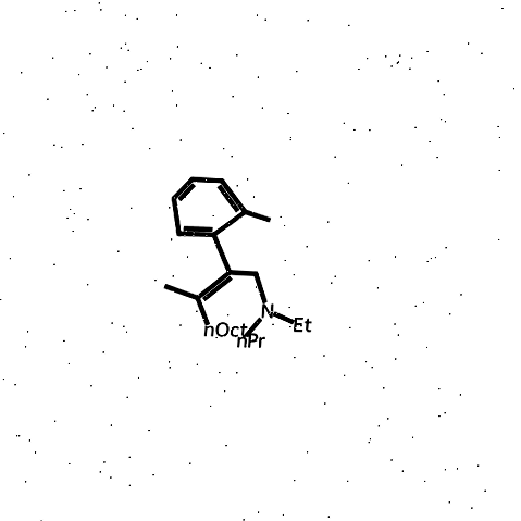 CCCCCCCC/C(C)=C(\CN(CC)CCC)c1ccccc1C